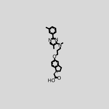 Cc1cccc(-c2ncc(C)c(N(C)CCCOc3ccc4c(c3)CC[C@H]4CC(=O)O)n2)c1